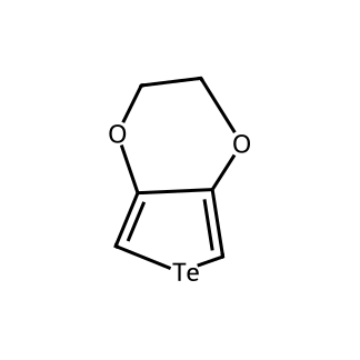 c1[te]cc2c1OCCO2